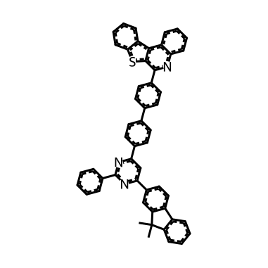 CC1(C)c2ccccc2-c2ccc(-c3cc(-c4ccc(-c5ccc(-c6nc7ccccc7c7c6sc6ccccc67)cc5)cc4)nc(-c4ccccc4)n3)cc21